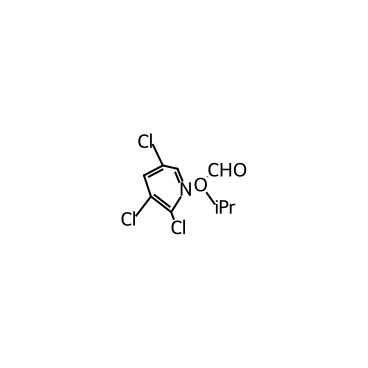 CC(C)OC=O.Clc1cnc(Cl)c(Cl)c1